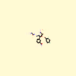 Cl.NCC(=O)NCc1[nH]c(=O)c(Br)c(OCc2ccc(F)cc2F)c1-c1cccc(C(N)=O)c1